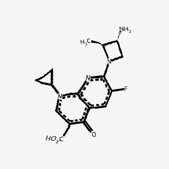 C[C@H]1[C@H](N)CN1c1nc2c(cc1F)c(=O)c(C(=O)O)cn2C1CC1